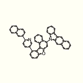 c1ccc2cc(-c3ccc(-c4cccc5oc6cc(-n7c8ccccc8c8cc9ccccc9cc87)c7ccccc7c6c45)cn3)ccc2c1